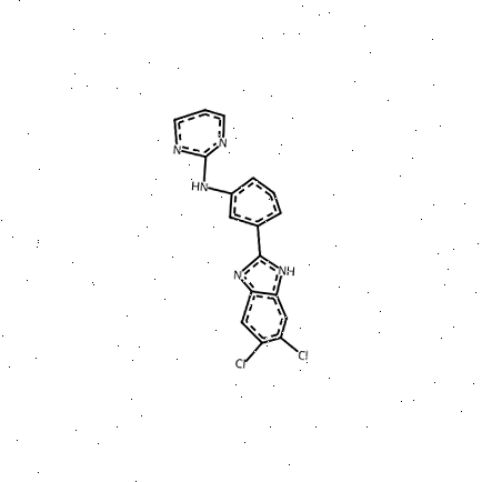 Clc1cc2nc(-c3cccc(Nc4ncccn4)c3)[nH]c2cc1Cl